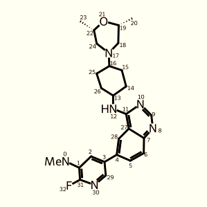 CNc1cc(-c2ccc3ncnc(NC4CCC(N5C[C@@H](C)O[C@@H](C)C5)CC4)c3c2)cnc1F